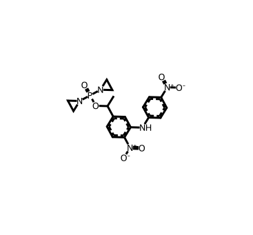 CC(OP(=O)(N1CC1)N1CC1)c1ccc([N+](=O)[O-])c(Nc2ccc([N+](=O)[O-])cc2)c1